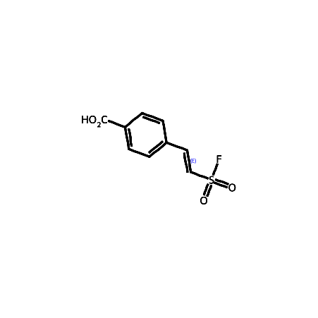 O=C(O)c1ccc(/C=C/S(=O)(=O)F)cc1